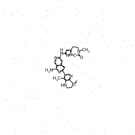 Cc1c(-c2cc3cc(Nc4cc5n(n4)CC(=O)N(C)CC5)ncc3c(N)n2)cnc2c1NCC[C@@H]2F